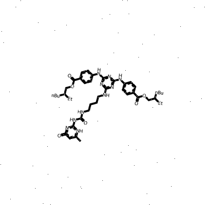 CCCCC(CC)COC(=O)c1ccc(Nc2nc(NCCCCNC(=O)Nc3nc(=O)cc(C)[nH]3)nc(Nc3ccc(C(=O)OCC(CC)CCCC)cc3)n2)cc1